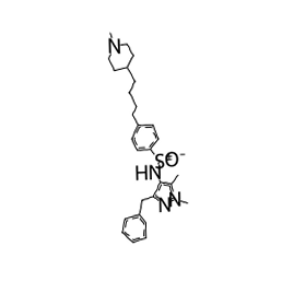 Cc1c(N[S+]([O-])c2ccc(CCCCC3CCN(C)CC3)cc2)c(Cc2ccccc2)nn1C